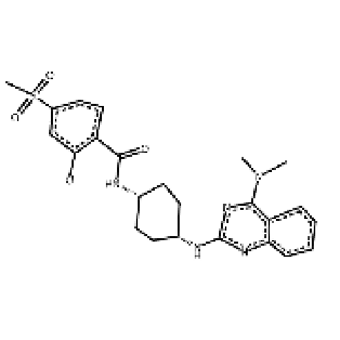 CN(C)c1nc(N[C@H]2CC[C@@H](NC(=O)c3ccc(S(C)(=O)=O)cc3Cl)CC2)nc2ccccc12